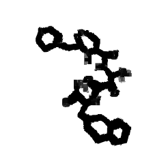 CC[C@H](C)C(NC(=O)C(CC(C)C)NC(=O)CN1CCOCC1)C(=O)C(=O)NC(Cc1ccc2ccccc2c1)C(N)=O